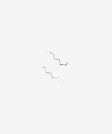 CC(=O)N[C@@H](C=O)[C@@H](O)[C@@H](O)[C@H](O)CO.CC(=O)N[C@@H](C=O)[C@@H](O)[C@@H](O)[C@H](O)CO